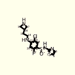 [O-][S+](Nc1nccs1)c1cc(Cl)c(NCCC2CNC2)cc1F